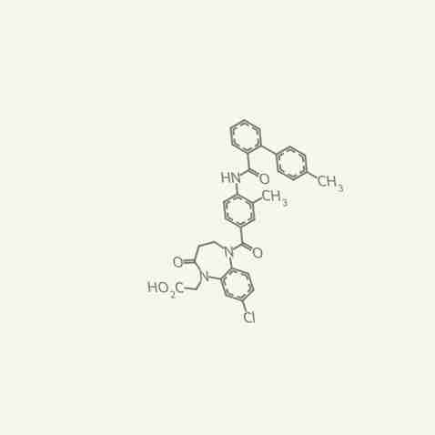 Cc1ccc(-c2ccccc2C(=O)Nc2ccc(C(=O)N3CCC(=O)N(CC(=O)O)c4cc(Cl)ccc43)cc2C)cc1